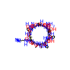 CCCC[C@H]1C(=O)N(C)[C@@H](CCCC)C(=O)N[C@@H](CC(C)C)C(=O)N[C@H](C(=O)NCC(=O)NCCCCCN=[N+]=[N-])CSCC(=O)N[C@@H](Cc2ccc(O)cc2)C(=O)N(C)[C@@H](C)C(=O)N[C@@H](CC(N)=O)C(=O)N2CCC[C@H]2C(=O)N[C@@H](CO)C(=O)N[C@@H](CCC(N)=O)C(=O)N2C[C@H](O)C[C@H]2C(=O)N[C@@H](Cc2c[nH]c3ccccc23)C(=O)N[C@@H](CO)C(=O)N[C@@H](Cc2c[nH]c3ccccc23)C(=O)N1C